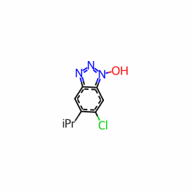 CC(C)c1cc2nnn(O)c2cc1Cl